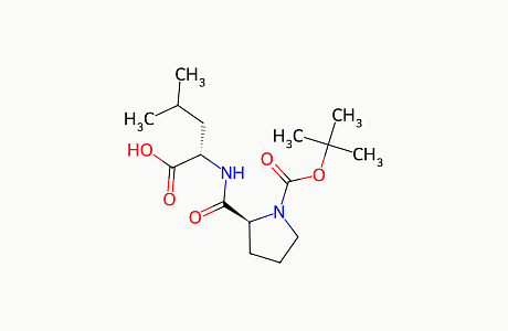 CC(C)C[C@H](NC(=O)[C@@H]1CCCN1C(=O)OC(C)(C)C)C(=O)O